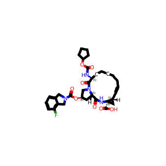 O=C(N[C@H]1CCCCCC=C[C@@H]2C[C@@]2(C(=O)O)NC(=O)[C@@H]2C[C@@H](OC(=O)N3Cc4cccc(F)c4C3)CN2C1=O)OC1CCCC1